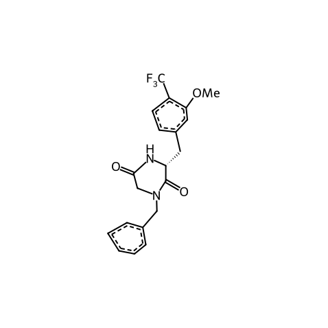 COc1cc(C[C@H]2NC(=O)CN(Cc3ccccc3)C2=O)ccc1C(F)(F)F